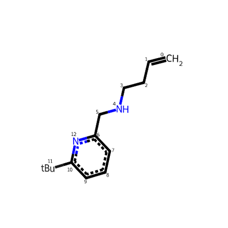 C=CCCNCc1cccc(C(C)(C)C)n1